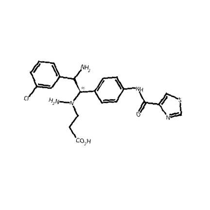 NC(c1cccc(Cl)c1)[C@@H](c1ccc(NC(=O)c2cscn2)cc1)N(N)CCC(=O)O